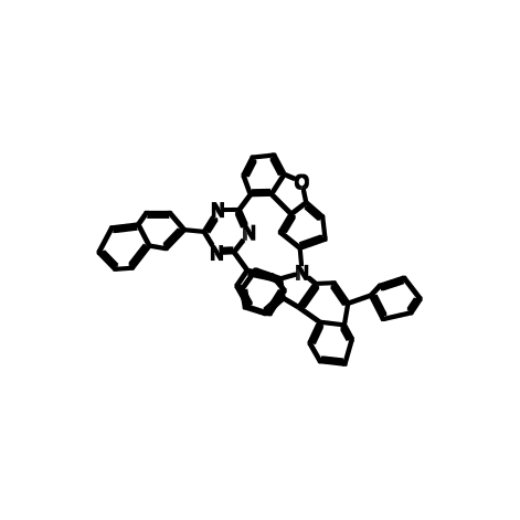 c1ccc(-c2nc(-c3ccc4ccccc4c3)nc(-c3cccc4oc5ccc(-n6c7ccccc7c7c8ccccc8c(-c8ccccc8)cc76)cc5c34)n2)cc1